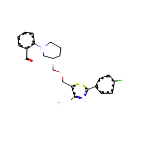 Cc1nc(-c2ccc(Cl)cc2)sc1COC[C@@H]1CCCN(c2ccccc2C(=O)O)C1